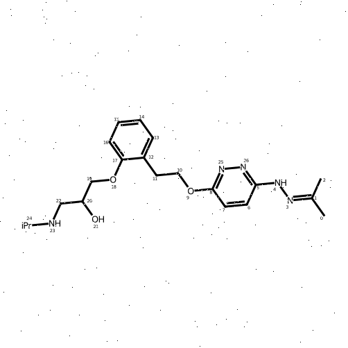 CC(C)=NNc1ccc(OCCc2ccccc2OCC(O)CNC(C)C)nn1